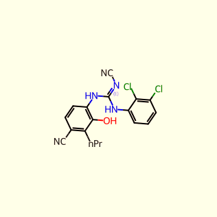 CCCc1c(C#N)ccc(N/C(=N\C#N)Nc2cccc(Cl)c2Cl)c1O